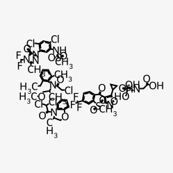 CC1COc2ccccc2N1C(=O)C(Cl)Cl.CCc1cccc(C)c1N(C(=O)CCl)C(C)COC.CS(=O)(=O)c1cc(C(F)(F)F)ccc1C(=O)c1cnoc1C1CC1.Cc1nn(-c2cc(NS(C)(=O)=O)c(Cl)cc2Cl)c(=O)n1C(F)F.O=C(O)CNCP(=O)(O)O